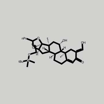 CCCC1O[C@@H]2C[C@H]3[C@@H]4CCC5=CC(=O)/C(=C/O)C[C@]5(C)[C@H]4[C@@H](O)C[C@]3(C)[C@]2(C(=O)CO[Si](C)(C)C(C)(C)C)O1